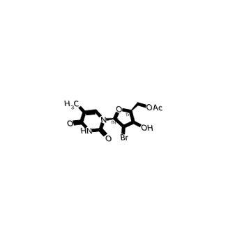 CC(=O)OC[C@@H]1O[C@H](n2cc(C)c(=O)[nH]c2=O)C(Br)C1O